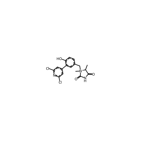 CC1C(=O)NC(=O)[N+]1(C)Cc1ccc(O)c(-c2cc(Cl)nc(Cl)c2)c1